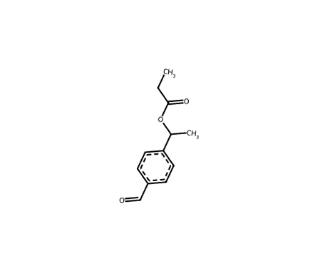 CCC(=O)OC(C)c1ccc(C=O)cc1